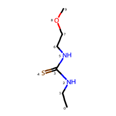 CCNC(=S)NCCOC